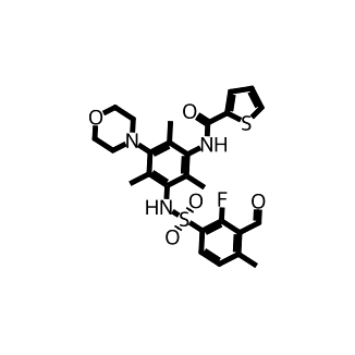 Cc1ccc(S(=O)(=O)Nc2c(C)c(NC(=O)c3cccs3)c(C)c(N3CCOCC3)c2C)c(F)c1C=O